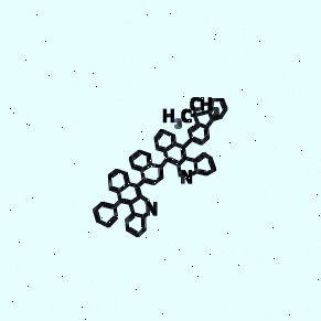 CC1(C)c2ccccc2-c2ccc(-c3c4ccccc4c(-c4ccc(-c5c6ccccc6c(-c6ccccc6)c6c5cnc5ccccc56)c5ccccc45)c4cnc5ccccc5c34)cc21